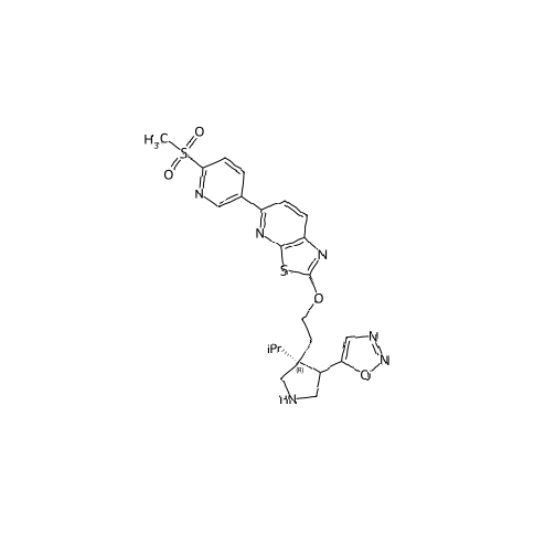 CC(C)[C@@]1(CCOc2nc3ccc(-c4ccc(S(C)(=O)=O)nc4)nc3s2)CNCC1c1cnno1